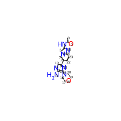 CC(=O)Nc1cn2cc(-c3cnc(N)c(N4CCOCC4)n3)ccc2n1